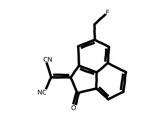 N#CC(C#N)=c1c(=O)c2cccc3cc(CF)cc1c32